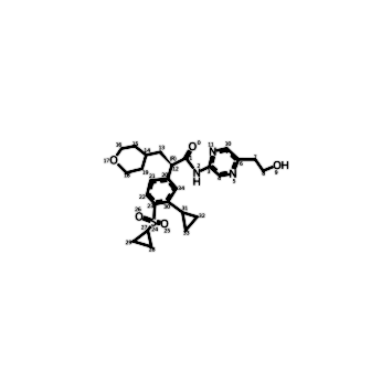 O=C(Nc1cnc(CCO)cn1)[C@H](CC1CCOCC1)c1ccc(S(=O)(=O)C2CC2)c(C2CC2)c1